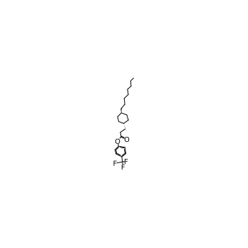 CCCCCCCC[C@H]1CC[C@H](CCC(=O)Oc2ccc(C(F)(F)F)cc2)CC1